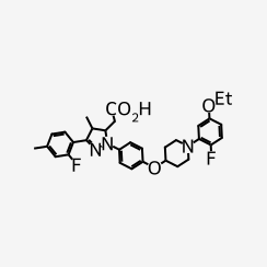 CCOc1ccc(F)c(N2CCC(Oc3ccc(N4N=C(c5ccc(C)cc5F)C(C)C4CC(=O)O)cc3)CC2)c1